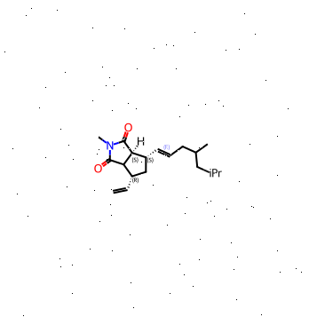 C=C[C@H]1C[C@@H](/C=C/CC(C)CC(C)C)[C@@H]2C(=O)N(C)C(=O)C21